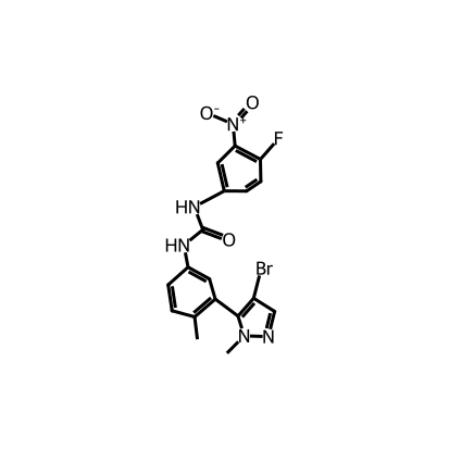 Cc1ccc(NC(=O)Nc2ccc(F)c([N+](=O)[O-])c2)cc1-c1c(Br)cnn1C